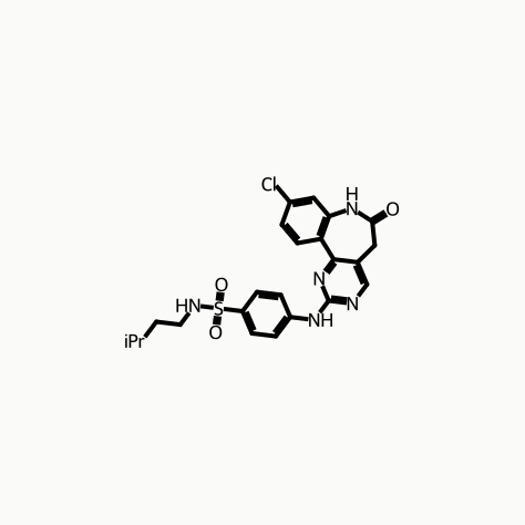 CC(C)CCNS(=O)(=O)c1ccc(Nc2ncc3c(n2)-c2ccc(Cl)cc2NC(=O)C3)cc1